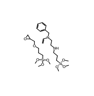 C=CN(CCNCCC[Si](OC)(OC)OC)Cc1ccccc1.CO[Si](CCCOCC1CO1)(OC)OC